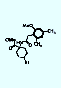 CCC1CCC(NC(=O)Cc2c(C)cc(C)cc2OC)(C(=O)OC)CC1